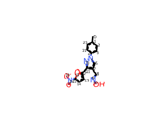 Cc1ccc(-n2cc(C=NO)c(-c3ccc([N+](=O)[O-])o3)n2)cc1